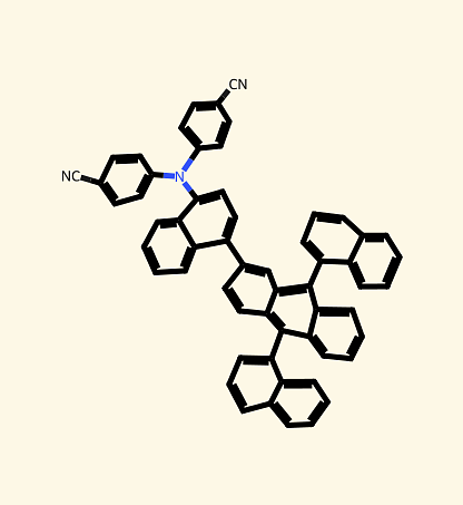 N#Cc1ccc(N(c2ccc(C#N)cc2)c2ccc(-c3ccc4c(-c5cccc6ccccc56)c5ccccc5c(-c5cccc6ccccc56)c4c3)c3ccccc23)cc1